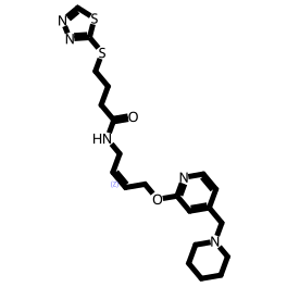 O=C(CCCSc1nncs1)NC/C=C\COc1cc(CN2CCCCC2)ccn1